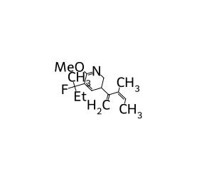 C=C(/C(C)=C\C)C1C=C(C(C)(F)CC)C(OC)=NC1